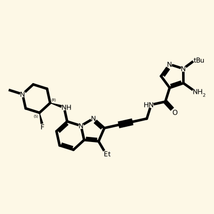 CCc1c(C#CCNC(=O)c2cnn(C(C)(C)C)c2N)nn2c(N[C@@H]3CCN(C)C[C@@H]3F)cccc12